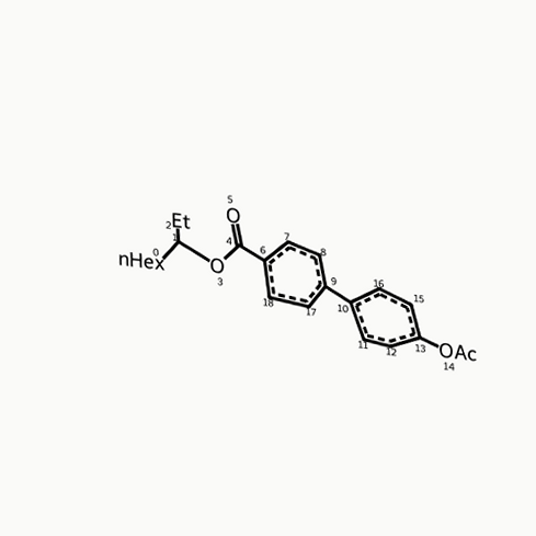 CCCCCCC(CC)OC(=O)c1ccc(-c2ccc(OC(C)=O)cc2)cc1